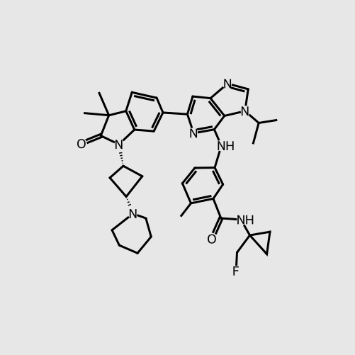 Cc1ccc(Nc2nc(-c3ccc4c(c3)N([C@H]3C[C@@H](N5CCCCC5)C3)C(=O)C4(C)C)cc3ncn(C(C)C)c23)cc1C(=O)NC1(CF)CC1